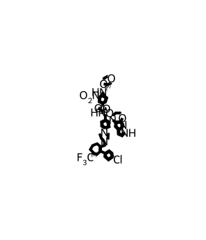 O=C(NS(=O)(=O)c1ccc(NC[C@H]2COCCO2)c([N+](=O)[O-])c1)c1ccc(N2CCN(CC3=C(c4ccc(Cl)cc4)C[C@H](C(F)(F)F)CCC3)CC2)cc1N1CCCOc2nc3[nH]ccc3cc21